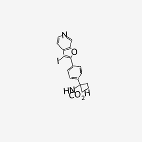 O=C(O)NC1(c2ccc(-c3oc4cnccc4c3I)cc2)CCC1